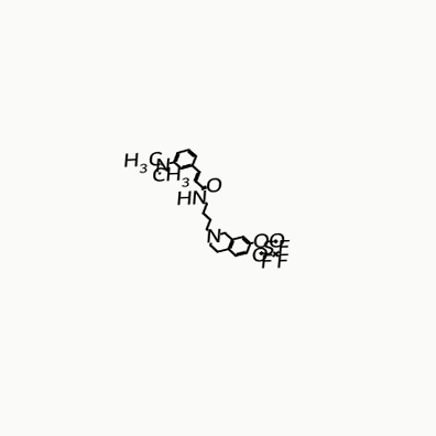 CN(C)c1cccc(C=CC(=O)NCCCCN2CCc3ccc(OS(=O)(=O)C(F)(F)F)cc3C2)c1